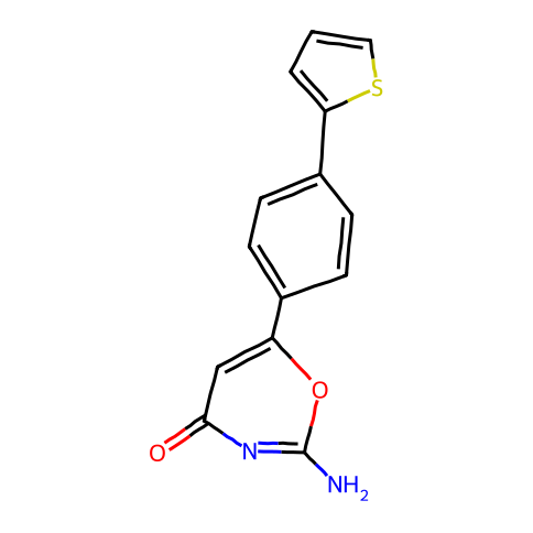 Nc1nc(=O)cc(-c2ccc(-c3cccs3)cc2)o1